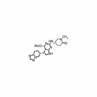 COc1nc(N[C@H]2CCC(=O)N(C)C2)nc2[nH]cc(-c3ccc4ncnn4c3)c12